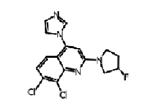 F[C@@H]1CCN(c2cc(-n3ccnc3)c3ccc(Cl)c(Cl)c3n2)C1